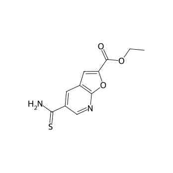 CCOC(=O)c1cc2cc(C(N)=S)cnc2o1